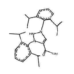 CC(C)c1cccc(C(C)C)c1N1C=C(C(=O)O)N(c2c(C(C)C)cccc2C(C)C)N1